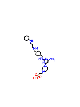 Nc1cc(N2CCCN(CCS(=O)(=O)O)CC2)nc(NCC2CCC(CNCCCNC3CCCCC3)CC2)n1